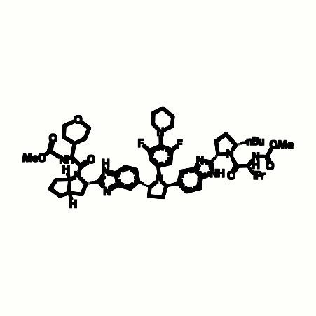 CCCC[C@H]1CC[C@@H](c2nc3cc([C@H]4CC[C@H](c5ccc6[nH]c([C@@H]7C[C@@H]8CCC[C@@H]8N7C(=O)[C@@H](NC(=O)OC)C7CCOCC7)nc6c5)N4c4cc(F)c(N5CCCCC5)c(F)c4)ccc3[nH]2)N1C(=O)[C@@H](NC(=O)OC)C(C)C